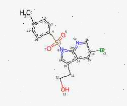 Cc1ccc(S(=O)(=O)n2cc(CCO)c3cc(Br)cnc32)cc1